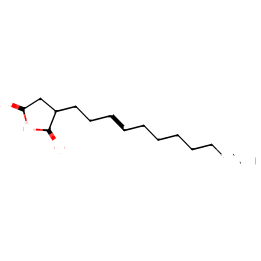 CCCCCCCCCCCCCCC=CCCC1CC(=O)OC1=O